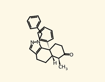 C[C@@H]1C(=O)CC[C@]2(c3ccccc3)c3c(cnn3Cc3ccccc3)CC[C@@H]12